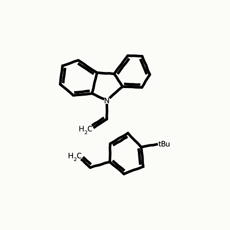 C=Cc1ccc(C(C)(C)C)cc1.C=Cn1c2ccccc2c2ccccc21